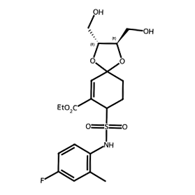 CCOC(=O)C1=CC2(CCC1S(=O)(=O)Nc1ccc(F)cc1C)O[C@H](CO)[C@@H](CO)O2